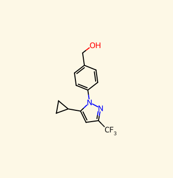 OCc1ccc(-n2nc(C(F)(F)F)cc2C2CC2)cc1